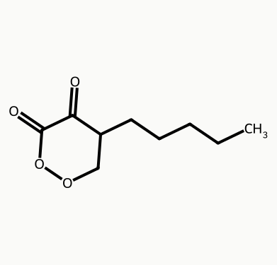 CCCCCC1COOC(=O)C1=O